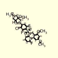 COc1ccc(CN(c2cccc(F)n2)S(=O)(=O)c2c(F)cc(N3C[C@H]4CN(C)C[C@]4(OC)C3)c(Cl)c2F)c(OC)c1